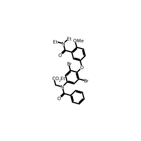 CCOC(=O)CN(C(=O)c1ccccc1)c1cc(Br)c(Oc2ccc(OC)c(C(=O)N(CC)CC)c2)c(Br)c1